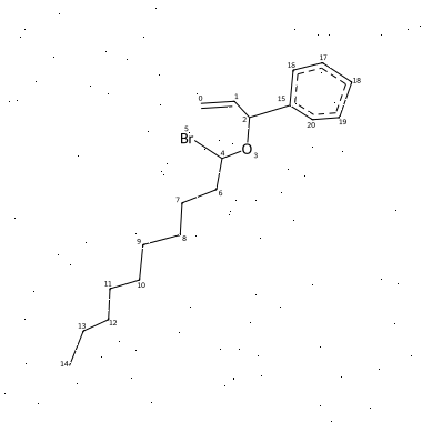 C=CC(OC(Br)CCCCCCCCC)c1ccccc1